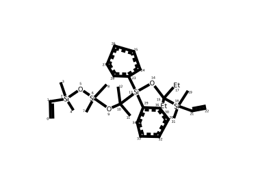 C=C[Si](C)(C)O[Si](C)(C)OC(C)(C)[Si](OC(CC)(CC)[Si](C)(C)C=C)(c1ccccc1)c1ccccc1